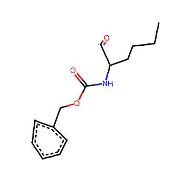 CCCCC([C]=O)NC(=O)OCc1ccccc1